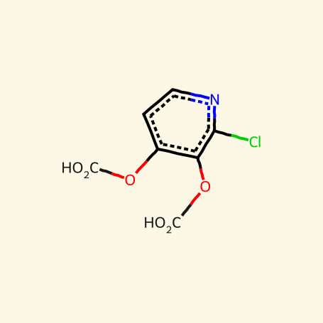 O=C(O)Oc1ccnc(Cl)c1OC(=O)O